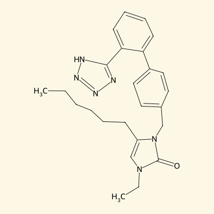 CCCCCCc1cn(CC)c(=O)n1Cc1ccc(-c2ccccc2-c2nnn[nH]2)cc1